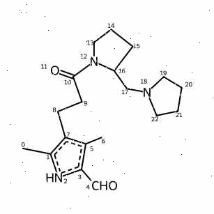 Cc1[nH]c(C=O)c(C)c1CCC(=O)N1CCCC1CN1CCCC1